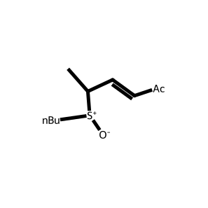 CCCC[S+]([O-])C(C)/C=C/C(C)=O